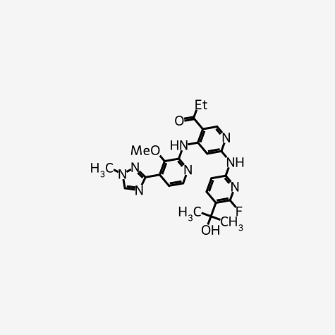 CCC(=O)c1cnc(Nc2ccc(C(C)(C)O)c(F)n2)cc1Nc1nccc(-c2ncn(C)n2)c1OC